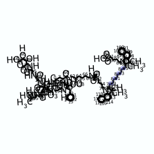 CC(C)CC(NC(=O)C(Cc1ccccc1)NC(=O)CNC(=O)C(C)(C)C(C)(C(=O)NCC(=O)NCC(=O)NC1C(O)OC(O)C(O)C1O)C(C)(C)C(=O)NCC(C)O)C(=O)NCC(CCCCNS(=O)(=O)CCCC[N+]1=C(/C=C/C=C/C=C/C=C/C2=[N+](CCCCS(=O)(=O)O)c3c(ccc4ccccc34)C2(C)C)C(C)(C)c2ccc3ccccc3c21)C(=O)O